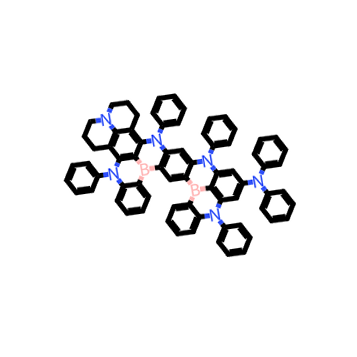 c1ccc(N(c2ccccc2)c2cc3c4c(c2)N(c2ccccc2)c2cc5c(cc2B4c2ccccc2N3c2ccccc2)B2c3ccccc3N(c3ccccc3)c3c4c6c(c(c32)N5c2ccccc2)CCCN6CCC4)cc1